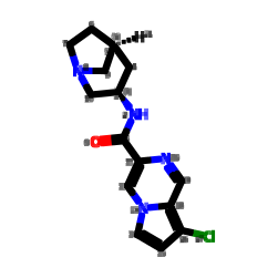 O=C(N[C@@H]1C[C@@H]2CCN(C2)C1)c1cn2ccc(Cl)c2cn1